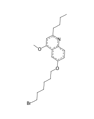 CCCCc1cc(OC)c2cc(OCCCCCCBr)ccc2n1